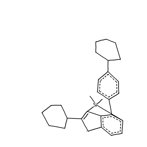 C[Si]1(C)C2=C(C3CCCCC3)[CH]c3ccc1c(-c1ccc(C4CCCCC4)cc1)c32